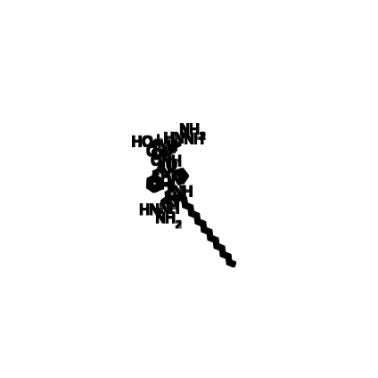 CCCCCCCCCCCCCCCCCC(=O)N[C@@H](CCCNC(=N)N)C(=O)N1CCC[C@H]1C(=O)N[C@@H](Cc1ccccc1)C(=O)N[C@@H](CCCNC(=N)N)C(=O)N[C@@H](C)C(=O)O